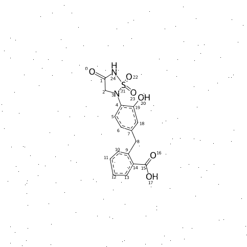 O=C1CN(c2ccc(Cc3ccccc3C(=O)O)cc2O)S(=O)(=O)N1